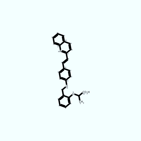 CC(Oc1ccccc1COc1ccc(C=Cc2ccc3ccccc3n2)cc1)C(=O)O